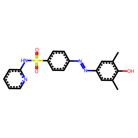 Cc1cc(/N=N/c2ccc(S(=O)(=O)Nc3ccccn3)cc2)cc(C)c1O